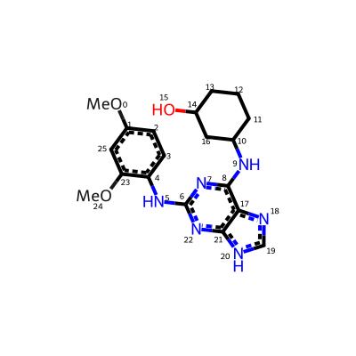 COc1ccc(Nc2nc(NC3CCCC(O)C3)c3nc[nH]c3n2)c(OC)c1